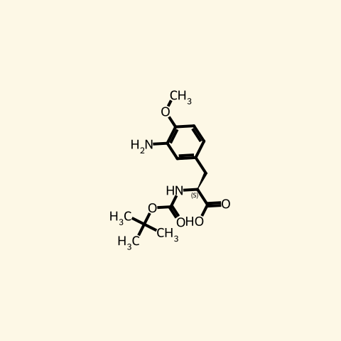 COc1ccc(C[C@H](NC(=O)OC(C)(C)C)C(=O)O)cc1N